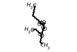 CC/C=C\CCCCOC(CCCCC(=O)OCC(CO)COC(=O)CCCCCCC/C=C\CC=CCCCCC)OCCCC/C=C\CC